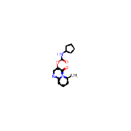 Cc1cccc2ncc(OC(=O)NC3CCCC3)c(=O)n12